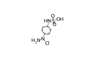 NN(Cl)c1ccc(NS(=O)(=O)O)cc1